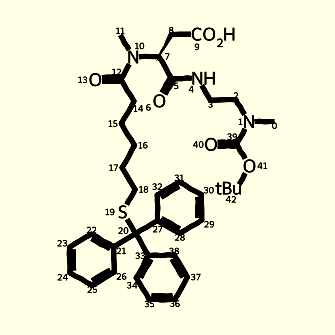 CN(CCNC(=O)[C@H](CC(=O)O)N(C)C(=O)CCCCCSC(c1ccccc1)(c1ccccc1)c1ccccc1)C(=O)OC(C)(C)C